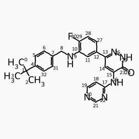 CC(C)(C)c1ccc(CNc2cc(-c3cc(Nc4ccncn4)c(=O)[nH]n3)ccc2F)cc1